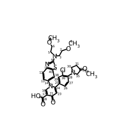 COCCN(CCOC)c1nc2ccc(-n3cc(C(=O)O)c(=O)cc3-c3ccc(N4CC[C@@H](OC)C4)c(Cl)c3)cc2s1